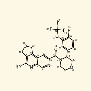 Nc1nc2cnc(C(=O)N3CCOCC3c3ccc(F)c(OC(F)(F)F)c3)cc2c2c1COC2